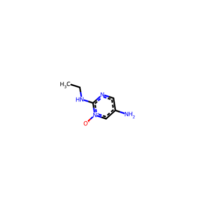 CCNc1ncc(N)c[n+]1[O-]